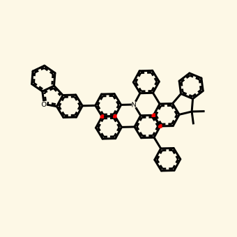 CC1(C)c2ccccc2-c2c(-c3ccccc3N(c3ccc(-c4ccc5oc6ccccc6c5c4)cc3)c3ccc(-c4ccccc4)cc3-c3ccccc3)cccc21